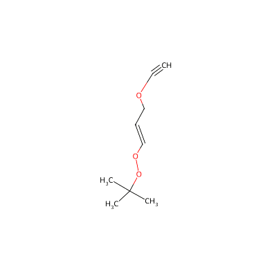 C#COCC=COOC(C)(C)C